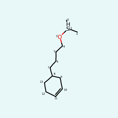 C[SiH](C)OCCCCC1CC=CCC1